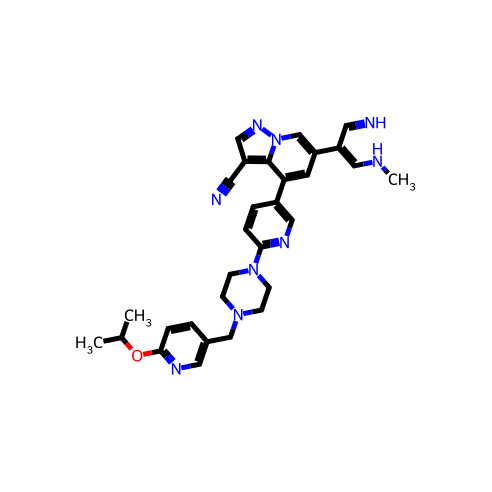 CN/C=C(\C=N)c1cc(-c2ccc(N3CCN(Cc4ccc(OC(C)C)nc4)CC3)nc2)c2c(C#N)cnn2c1